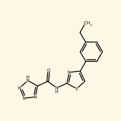 CCc1cccc(-c2csc(NC(=O)c3nnn[nH]3)n2)c1